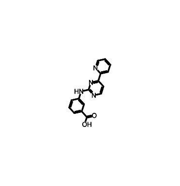 O=C(O)c1cccc(Nc2nccc(-c3ccccn3)n2)c1